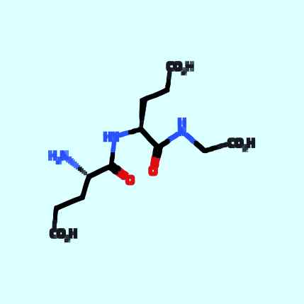 N[C@@H](CCC(=O)O)C(=O)N[C@@H](CCC(=O)O)C(=O)NCC(=O)O